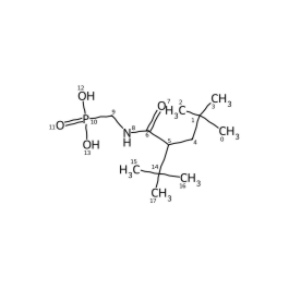 CC(C)(C)CC(C(=O)NCP(=O)(O)O)C(C)(C)C